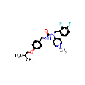 CC(C)COc1ccc(CNC(=O)N(Cc2cccc(F)c2F)C2CCN(C)CC2)cc1